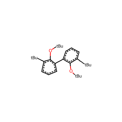 CC(C)(C)Oc1c(-c2cccc(C(C)(C)C)c2OC(C)(C)C)cccc1C(C)(C)C